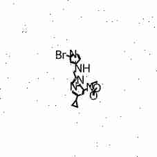 O=C1OCCN1c1cc(C2CC2)cn2cc(CNc3ccnc(Br)c3)nc12